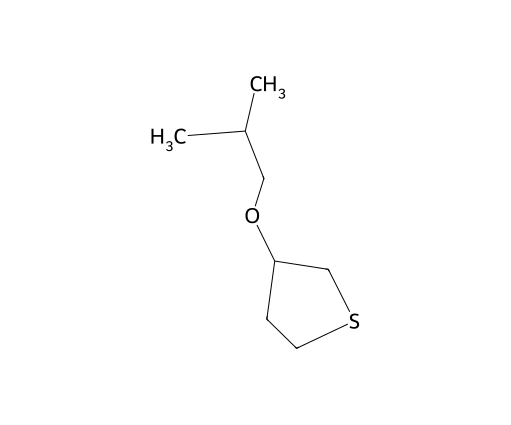 CC(C)COC1CCSC1